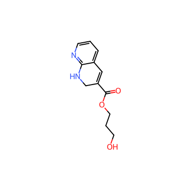 O=C(OCCCO)C1=Cc2cccnc2NC1